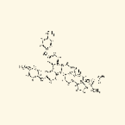 Cc1ccc(Oc2ccc(C3CCC4(C)C5CCC6(C)C(C(C)CCC(C)C)CCC6C5CCC4C3c3ccc(Oc4ccc(C)cc4)cc3)cc2)cc1